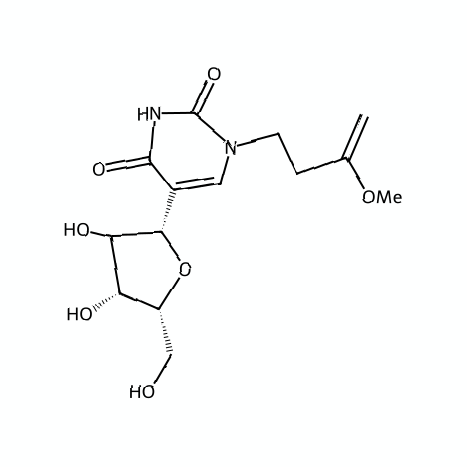 C=C(CCn1cc([C@@H]2O[C@H](CO)[C@H](O)C2O)c(=O)[nH]c1=O)OC